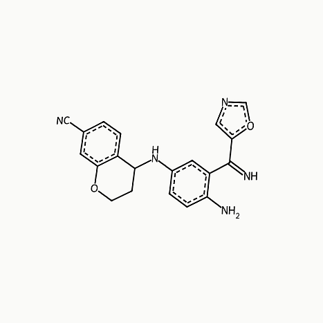 N#Cc1ccc2c(c1)OCCC2Nc1ccc(N)c(C(=N)c2cnco2)c1